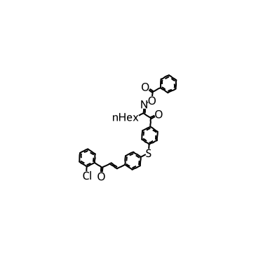 CCCCCCC(=NOC(=O)c1ccccc1)C(=O)c1ccc(Sc2ccc(C=CC(=O)c3ccccc3Cl)cc2)cc1